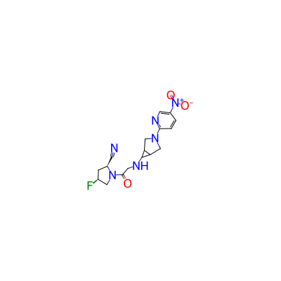 N#C[C@@H]1C[C@H](F)CN1C(=O)CNC1C2CN(c3ccc([N+](=O)[O-])cn3)CC21